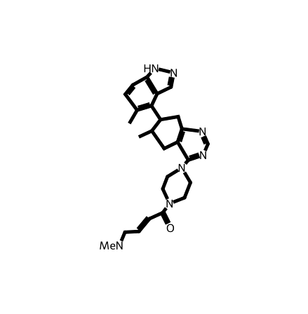 CNC/C=C/C(=O)N1CCN(c2ncnc3c2CC(C)C(c2c(C)ccc4[nH]ncc24)C3)CC1